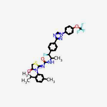 Cc1ccc(C(C)C)c(N2C(=O)CS/C2=N\C(=O)NC(C)C(F)c2ccc(-c3ncn(-c4ccc(OC(F)(F)F)cc4)n3)cc2)c1